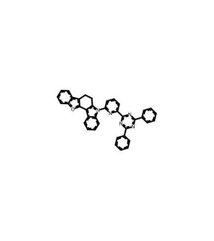 c1ccc(-c2nc(-c3ccccc3)nc(-c3cccc(-n4c5c(c6ccccc64)-c4oc6ccccc6c4CC5)n3)n2)cc1